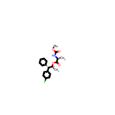 C[C@H](NC(=O)OC(C)(C)C)C(=O)O[C@@H](C)[C@@H](c1ccccc1)c1ccc(F)cc1